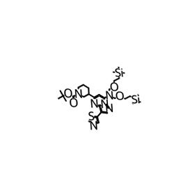 CC(C)(C)OC(=O)N1CCCC(c2cc(N(COCC[Si](C)(C)C)COCC[Si](C)(C)C)n3ncc(-c4cncs4)c3n2)C1